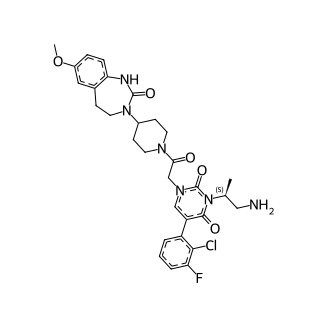 COc1ccc2c(c1)CCN(C1CCN(C(=O)Cn3cc(-c4cccc(F)c4Cl)c(=O)n([C@@H](C)CN)c3=O)CC1)C(=O)N2